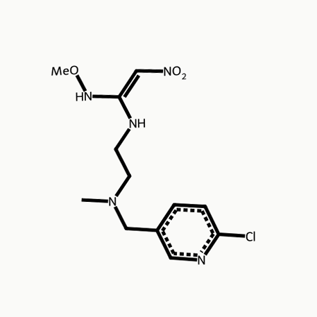 CON/C(=C/[N+](=O)[O-])NCCN(C)Cc1ccc(Cl)nc1